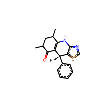 CC[C@@]1(c2ccccc2)C2=C(Nc3ncsc31)C(C)CC(C)C2=O